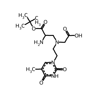 Cc1cn(CCN(CC(=O)O)CC(N)C(=O)OC(C)(C)C)c(=O)[nH]c1=O